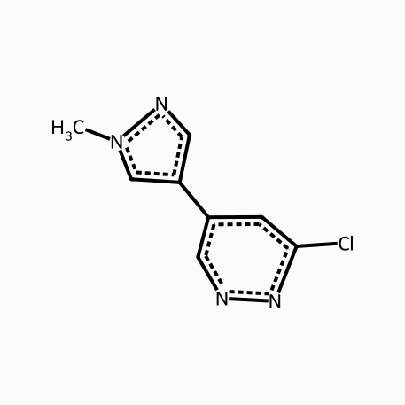 Cn1cc(-c2cnnc(Cl)c2)cn1